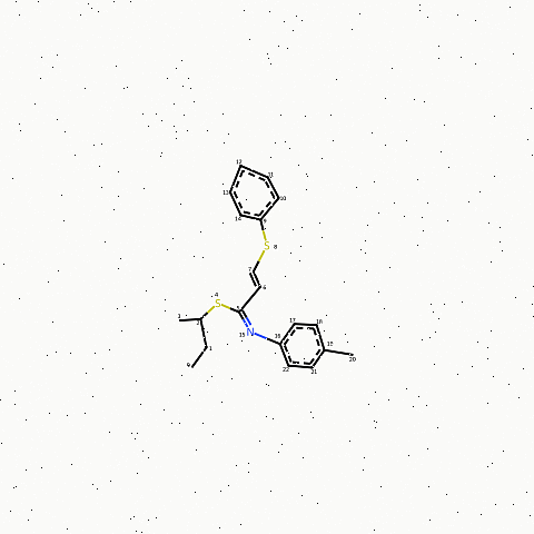 CCC(C)SC(C=CSc1ccccc1)=Nc1ccc(C)cc1